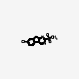 CS(=O)(=O)c1ncc2c(n1)Cc1cc(Cl)ccc1-2